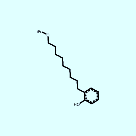 CC(C)OCCCCCCCCCc1ccccc1O